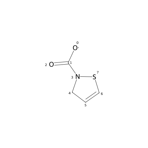 [O]C(=O)N1CC=CS1